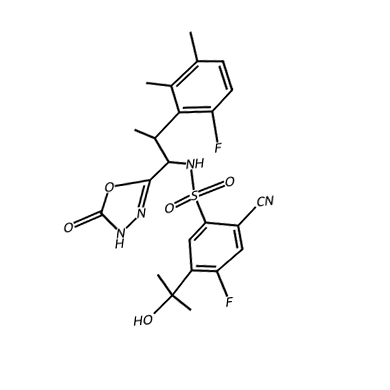 Cc1ccc(F)c(C(C)C(NS(=O)(=O)c2cc(C(C)(C)O)c(F)cc2C#N)c2n[nH]c(=O)o2)c1C